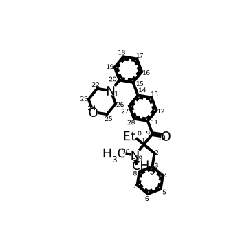 CCC(Cc1ccccc1)(C(=O)c1ccc(-c2ccccc2N2CCOCC2)cc1)N(C)C